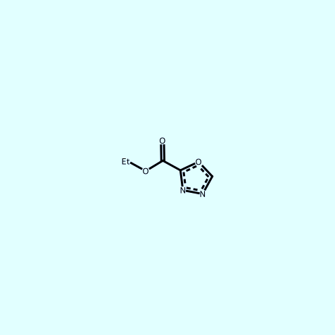 CCOC(=O)c1nnco1